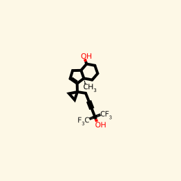 C[C@@]12CCCC(O)C1CC=C2C1(CC#CC(O)(C(F)(F)F)C(F)(F)F)CC1